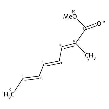 CC=CC=CC=C(C)C(=O)OC